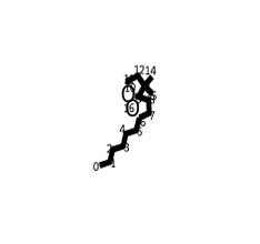 CCCCCCC1CCC2(OCCC2(C)C)O1